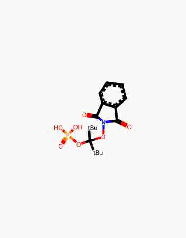 CC(C)(C)C(ON1C(=O)c2ccccc2C1=O)(OP(=O)(O)O)C(C)(C)C